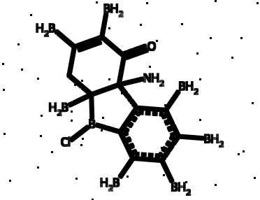 BC1=C(B)C(=O)C2(N)c3c(B)c(B)c(B)c(B)c3B(Cl)C2(B)C1